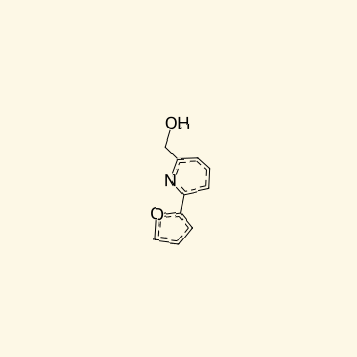 OCc1cccc(-c2ccco2)n1